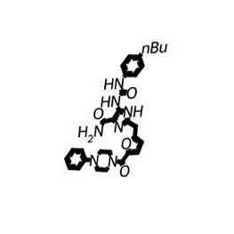 CCCCc1ccc(NC(=O)Nc2[nH]c(Cc3ccc(C(=O)N4CCN(c5ccccc5)CC4)o3)nc2C(N)=O)cc1